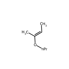 [CH2]CCOC(C)=CC